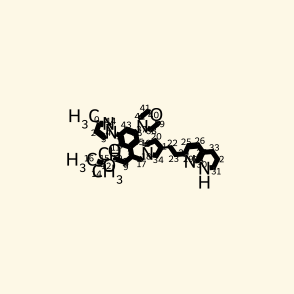 Cc1ccn(-c2cc(C(CC(=O)OC(C)(C)C)CN3CC[C@@H](CCc4ccc5c(n4)NCCC5)C3)cc(N3CCOCC3)c2)n1